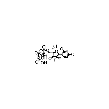 O=C1C(F)(F)[C@H](n2ccc(=O)[nH]c2=O)O[C@]1(CCl)COP(=O)(O)OP(=O)(O)OP(=O)(O)O